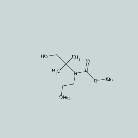 COCCN(C(=O)OC(C)(C)C)C(C)(C)CO